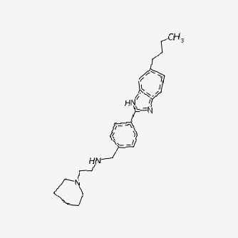 CCCCc1ccc2nc(-c3ccc(CNCCN4CCCCC4)cc3)[nH]c2c1